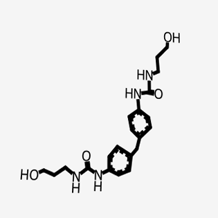 O=C(NCCCO)Nc1ccc(Cc2ccc(NC(=O)NCCCO)cc2)cc1